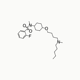 CCCCCN(C)CCCCOC1CCC(N(C)S(=O)(=O)c2ccccc2F)CC1